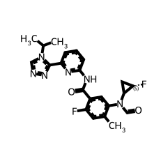 Cc1cc(F)c(C(=O)Nc2cccc(-c3nncn3C(C)C)n2)cc1N(C=O)C1C[C@@H]1F